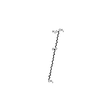 CCCCCCCCCCCCCCCCCCCCCC(=O)OCCCCCCCCCCC(C)C